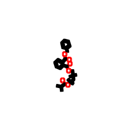 CC(C)C(=O)OC(C)(C)CC(C)(C)COC(=O)c1ccccc1C(=O)OCc1ccccc1